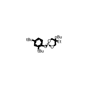 CCCCC1(CC)COP(Oc2ccc(C(C)(C)C)cc2C(C)(C)C)OC1